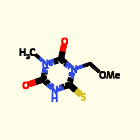 COCn1c(=S)[nH]c(=O)n(C)c1=O